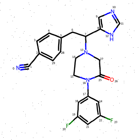 N#Cc1ccc(CC(c2cnc[nH]2)N2CCN(c3cc(F)cc(F)c3)C(=O)C2)cc1